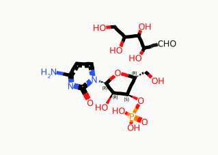 Nc1ccn([C@@H]2O[C@H](CO)[C@@H](OP(=O)(O)O)[C@H]2O)c(=O)n1.O=CC(O)C(O)C(O)CO